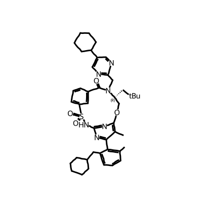 Cc1cccc(CC2CCCCC2)c1-c1nc2nc(c1C)OC[C@@H](CC(C)(C)C)N(Cc1ncc(C3CCCCC3)cn1)C(=O)c1cccc(c1)S(=O)(=O)N2